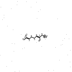 CC(C)=CCC/C=C(\C)CBr